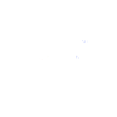 O=S(=O)(c1ccccc1)c1ccc2c(c1)C(N1CCNCC1)CCC2